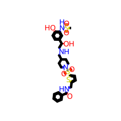 CS(=O)(=O)Nc1cc([C@@H](O)CNCC2CCN(S(=O)(=O)c3ccc(CNC(=O)c4ccccc4)s3)CC2)ccc1O